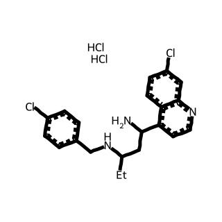 CCC(CC(N)c1ccnc2cc(Cl)ccc12)NCc1ccc(Cl)cc1.Cl.Cl